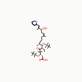 CC[C@@H](C(=O)C(C)(C)[C@H](CC(=O)O)O[Si](C)(C)C(C)(C)C)[C@@H](O[Si](C)(C)C(C)(C)C)[C@@H](C)CCC/C(C)=C\C[C@H](O)/C(C)=C/c1ccccn1